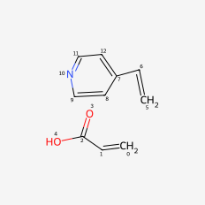 C=CC(=O)O.C=Cc1ccncc1